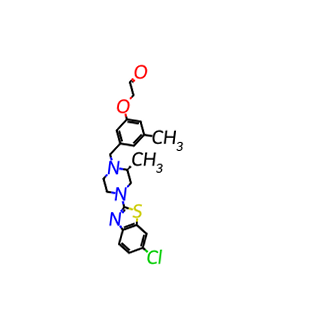 Cc1cc(CN2CCN(c3nc4ccc(Cl)cc4s3)C[C@@H]2C)cc(OCC=O)c1